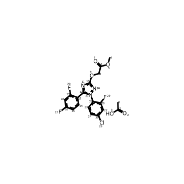 CC(=O)O.COC(=O)COc1nc(-c2ccc(F)cc2F)n(-c2ccc(Cl)cc2F)n1